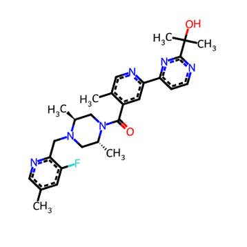 Cc1cnc(CN2C[C@@H](C)N(C(=O)c3cc(-c4ccnc(C(C)(C)O)n4)ncc3C)C[C@@H]2C)c(F)c1